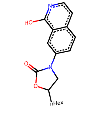 CCCCCCC1CN(c2ccc3ccnc(O)c3c2)C(=O)O1